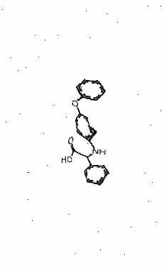 O=C(O)[C@@H](Nc1ccc(Oc2ccccc2)cc1)c1ccccc1